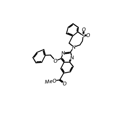 COC(=O)c1ccc2nc(N3CCS(=O)(=O)c4ccccc4C3)nc(OCc3ccccc3)c2c1